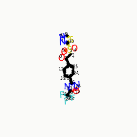 O=C(CS(=O)(=O)c1nncs1)c1ccc(-c2noc(C(F)(F)F)n2)cc1